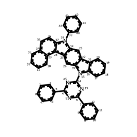 c1ccc(-c2nc(-c3ccccc3)nc(-n3c4ccccc4c4cc5c(cc43)c3c4ccccc4ccc3n5-c3ccccc3)n2)cc1